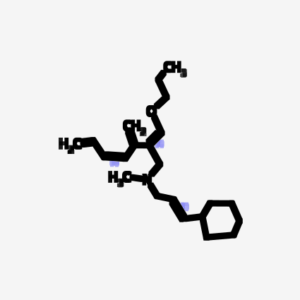 C=C/C=C\C(=C)/C(=C\OCCC)CN(C)C/C=C/C1CCCCC1